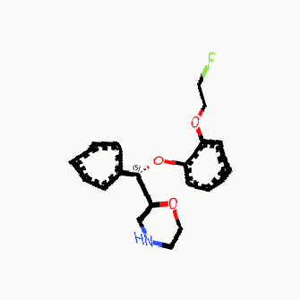 FCCOc1ccccc1O[C@@H](c1ccccc1)C1CNCCO1